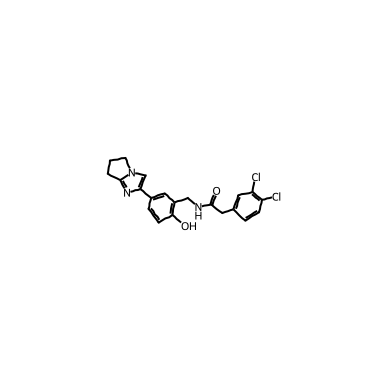 O=C(Cc1ccc(Cl)c(Cl)c1)NCc1cc(-c2cn3c(n2)CCC3)ccc1O